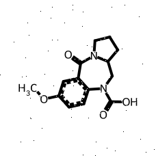 COc1ccc2c(c1)C(=O)N1CCCC1CN2C(=O)O